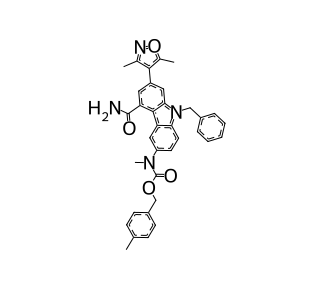 Cc1ccc(COC(=O)N(C)c2ccc3c(c2)c2c(C(N)=O)cc(-c4c(C)noc4C)cc2n3Cc2ccccc2)cc1